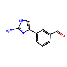 Nc1nc(-c2cccc(C=O)c2)c[nH]1